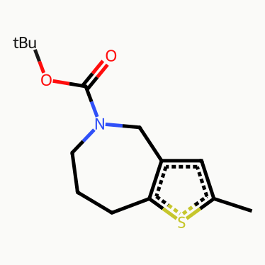 Cc1cc2c(s1)CCCN(C(=O)OC(C)(C)C)C2